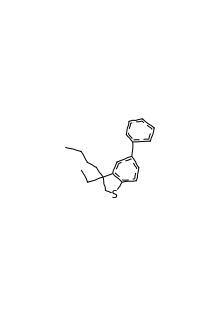 CCCCC1(CC)CSc2ccc(-c3ccccc3)cc21